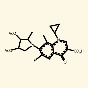 CC(=O)OC1CN(c2c(F)cc3c(=O)c(C(=O)O)cn(C4CC4)c3c2C)C(C)C1OC(C)=O